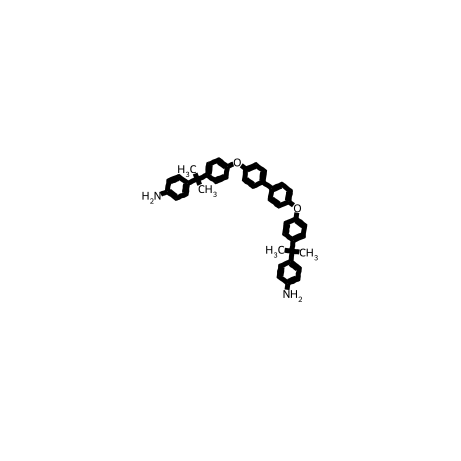 CC(C)(c1ccc(N)cc1)c1ccc(Oc2ccc(-c3ccc(Oc4ccc(C(C)(C)c5ccc(N)cc5)cc4)cc3)cc2)cc1